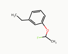 CCc1cccc(OC(C)F)c1